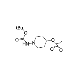 CC(C)(C)OC(=O)NN1CCC(OS(C)(=O)=O)CC1